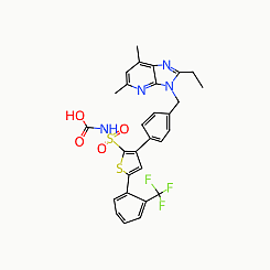 CCc1nc2c(C)cc(C)nc2n1Cc1ccc(-c2cc(-c3ccccc3C(F)(F)F)sc2S(=O)(=O)NC(=O)O)cc1